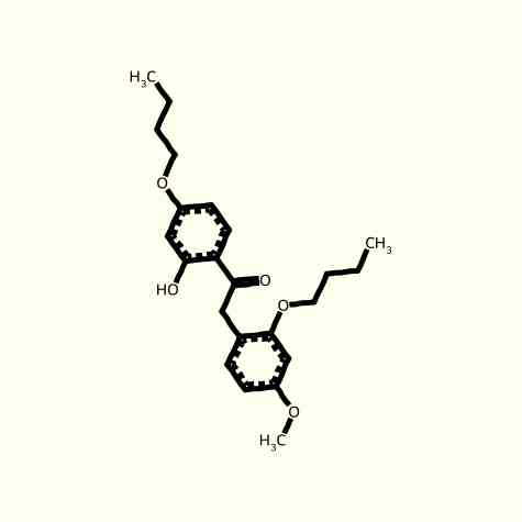 CCCCOc1ccc(C(=O)Cc2ccc(OC)cc2OCCCC)c(O)c1